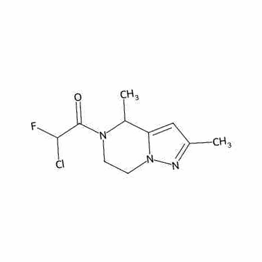 Cc1cc2n(n1)CCN(C(=O)C(F)Cl)C2C